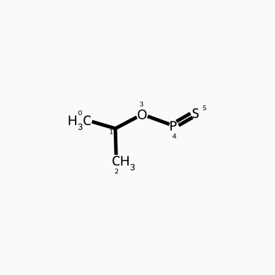 CC(C)OP=S